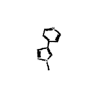 Cn1cc(-c2ccncc2)[c]n1